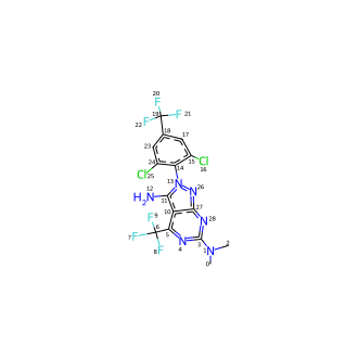 CN(C)c1nc(C(F)(F)F)c2c(N)n(-c3c(Cl)cc(C(F)(F)F)cc3Cl)nc2n1